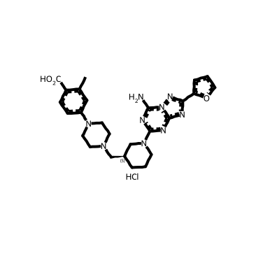 Cc1cc(N2CCN(C[C@@H]3CCCN(c4nc(N)n5nc(-c6ccco6)nc5n4)C3)CC2)ccc1C(=O)O.Cl